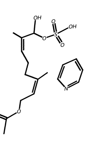 CC(=O)OCC=C(C)CCC=C(C)C(O)OS(=O)(=O)O.c1ccncc1